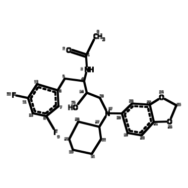 CC(=O)NC(Cc1cc(F)cc(F)c1)C(O)CN(c1ccc2c(c1)OCO2)C1CCCCC1